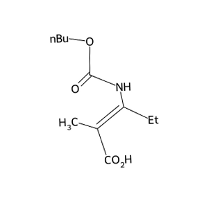 CCCCOC(=O)NC(CC)=C(C)C(=O)O